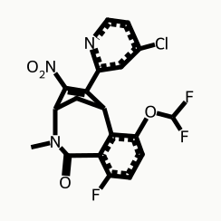 CN1C(=O)c2c(F)ccc(OC(F)F)c2C2CC1C([N+](=O)[O-])=C2c1cc(Cl)ccn1